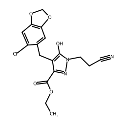 CCOC(=O)c1nn(CCC#N)c(O)c1Cc1cc2c(cc1Cl)OCO2